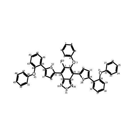 Fc1c(Oc2ccccc2)c(-c2ccc(-c3ccccc3Oc3ccccc3)s2)c2nsnc2c1-c1ccc(-c2ccccc2Oc2ccccc2)s1